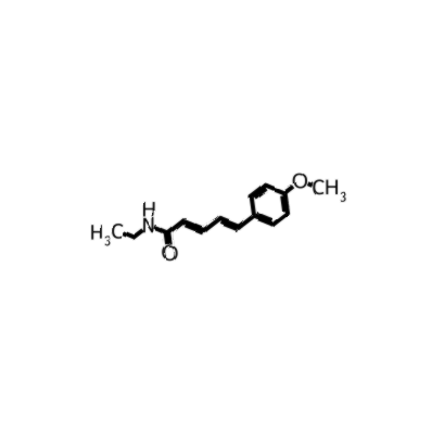 CCNC(=O)/C=C/C=C/c1ccc(OC)cc1